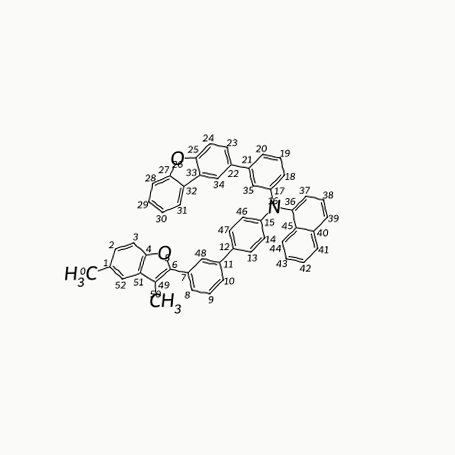 Cc1ccc2oc(-c3cccc(-c4ccc(N(c5cccc(-c6ccc7oc8ccccc8c7c6)c5)c5cccc6ccccc56)cc4)c3)c(C)c2c1